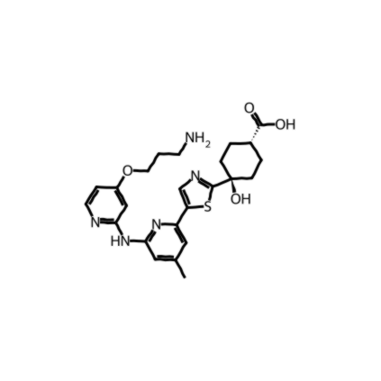 Cc1cc(Nc2cc(OCCCN)ccn2)nc(-c2cnc([C@]3(O)CC[C@H](C(=O)O)CC3)s2)c1